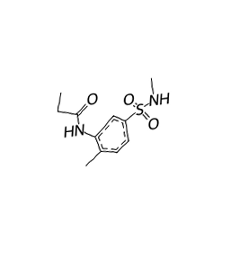 CCC(=O)Nc1cc(S(=O)(=O)NC)ccc1C